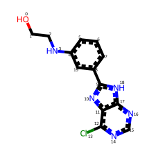 OCCNc1cccc(-c2nc3c(Cl)ncnc3[nH]2)c1